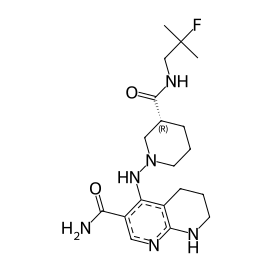 CC(C)(F)CNC(=O)[C@@H]1CCCN(Nc2c(C(N)=O)cnc3c2CCCN3)C1